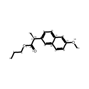 CCCOC(=O)[C@@H](C)c1ccc2cc(OC)ccc2c1